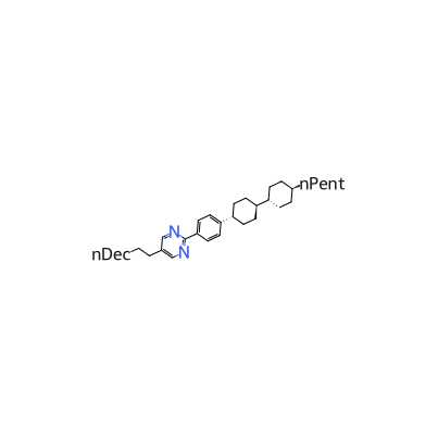 CCCCCCCCCCCCc1cnc(-c2ccc([C@H]3CC[C@H]([C@H]4CC[C@H](CCCCC)CC4)CC3)cc2)nc1